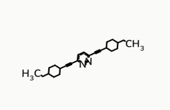 CCC1CCC(C#Cc2ccc(C#CC3CCC(CC)CC3)nn2)CC1